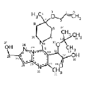 C=CCOC1(C)CCN(c2c(C(OC(C)(C)C)C(=O)O)c(C)nc3cc(CO)nn23)CC1